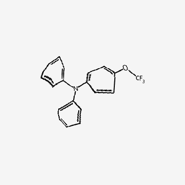 FC(F)(F)Oc1ccc(N(c2ccccc2)c2ccccc2)cc1